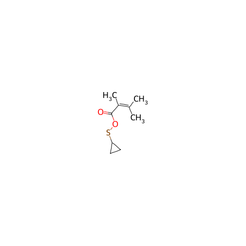 CC(C)=C(C)C(=O)OSC1CC1